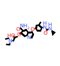 CCN(CC)C[C@@H](O)COc1cc2nccc(Oc3ccc(NC(=O)NC4CC4)c(C)c3)c2cc1C(N)=O